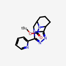 CC(C)(C)OC(=O)N1C2CCCC1c1nnc(-c3ccccn3)n1C2